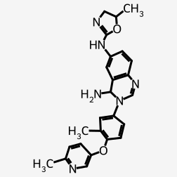 Cc1ccc(Oc2ccc(N3C=Nc4ccc(NC5=NCC(C)O5)cc4C3N)cc2C)cn1